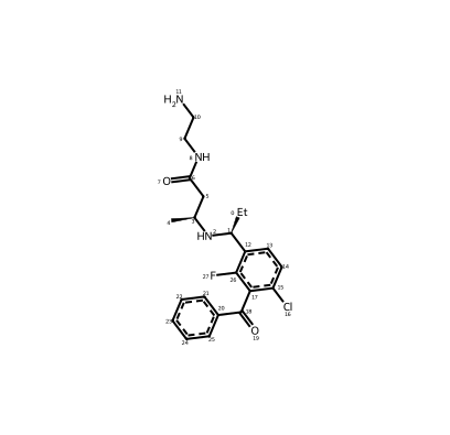 CC[C@H](N[C@@H](C)CC(=O)NCCN)c1ccc(Cl)c(C(=O)c2ccccc2)c1F